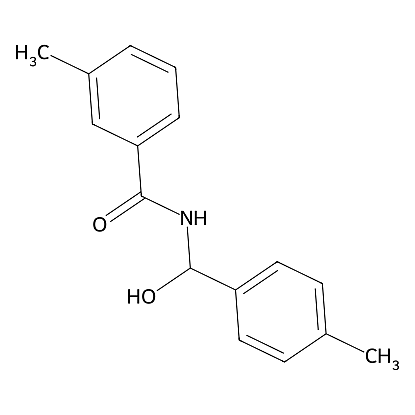 Cc1ccc(C(O)NC(=O)c2cccc(C)c2)cc1